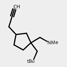 C#CCC1CCC(CNC)(CC(C)(C)C)C1